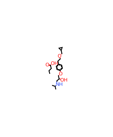 CC(C)NCC(O)COc1ccc(CCOCC2CC2)cc1.CCCC(=O)O